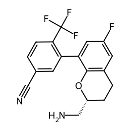 N#Cc1ccc(C(F)(F)F)c(-c2cc(F)cc3c2O[C@@H](CN)CC3)c1